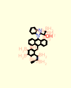 B/C(C#C)=C(\B)c1c(B)c(B)c(B)c(B)c1Cc1c2ccccc2c(-n2c(C(B)(O)C(B)(B)B)nc3ccccc32)c2ccccc12